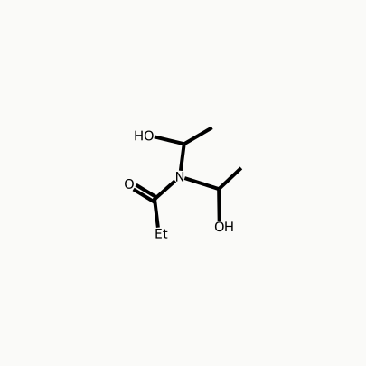 CCC(=O)N(C(C)O)C(C)O